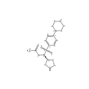 O=C(ON([C@H]1CCNC1)S(=O)(=O)c1ccc(N2CCOCC2)nc1)C(F)(F)F